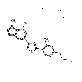 CCOC(=O)CCc1ccc(-c2noc(-c3cc(C#N)c4c(ccn4C)c3)n2)c(C)c1